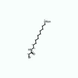 CCCCCCCCCCCCCCCCCCCCNC(=O)CBr